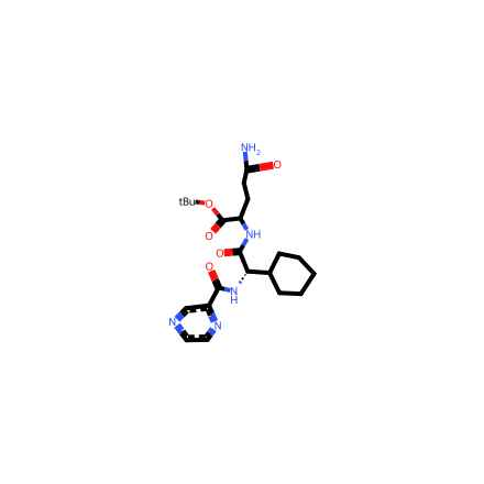 CC(C)(C)OC(=O)C(CCC(N)=O)NC(=O)[C@@H](NC(=O)c1cnccn1)C1CCCCC1